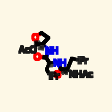 CC(=O)N[C@@H](CC(C)C)C(=O)N[C@@H](CC(C)C)C(=O)N[C@H]1CCO[C@H]1OC(C)=O